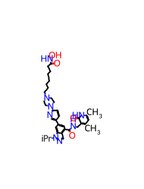 Cc1cc(C)c(CNC(=O)c2cc(-c3ccc(N4CCN(CCCCCCCC(=O)NO)CC4)nc3)cc3c2cnn3C(C)C)c(=O)[nH]1